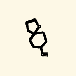 O[C]1CCC2(CCCO2)CC1